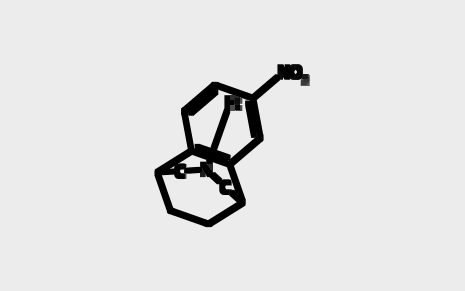 CCN1CC2CCC(C1)c1cc([N+](=O)[O-])ccc12